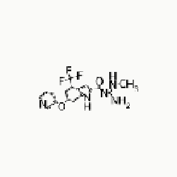 CNC(N)=NC(=O)c1cc2c(C(F)(F)F)cc(Oc3cccnc3)cc2[nH]1